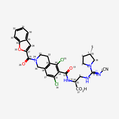 C[C@H]1CCN(/C(=N\C#N)NC[C@H](NC(=O)c2c(Cl)cc3c(c2Cl)CCN(C(=O)c2cc4ccccc4o2)C3)C(=O)O)C1